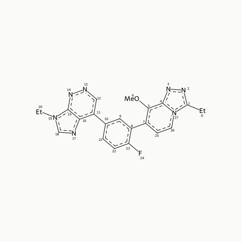 CCc1nnc2c(OC)c(-c3cc(-c4cnnc5c4ncn5CC)ccc3F)ccn12